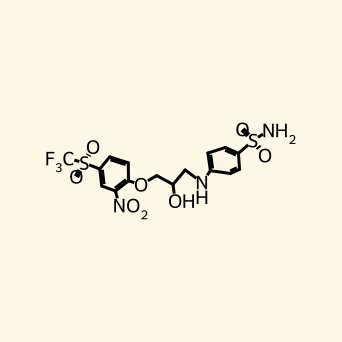 NS(=O)(=O)c1ccc(NCC(O)COc2ccc(S(=O)(=O)C(F)(F)F)cc2[N+](=O)[O-])cc1